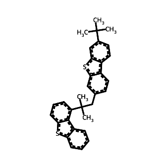 CC(C)(C)c1ccc2c(c1)sc1cc(CC(C)(C)c3cccc4sc5ccccc5c34)ccc12